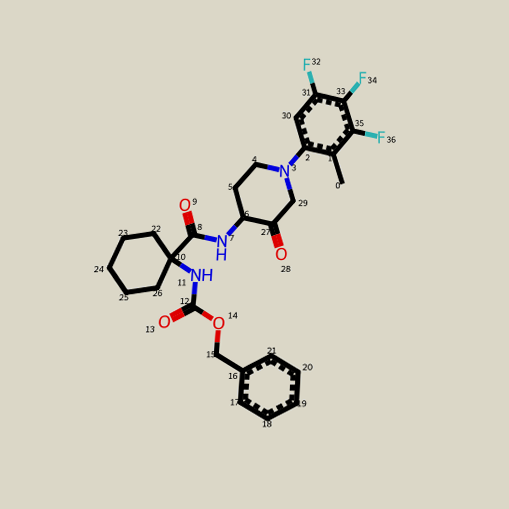 Cc1c(N2CCC(NC(=O)C3(NC(=O)OCc4ccccc4)CCCCC3)C(=O)C2)cc(F)c(F)c1F